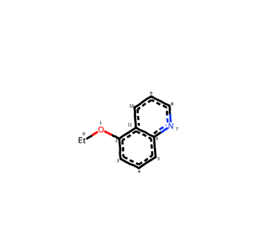 [CH2]COc1cccc2ncccc12